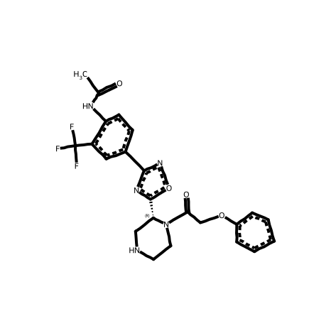 CC(=O)Nc1ccc(-c2noc([C@H]3CNCCN3C(=O)COc3ccccc3)n2)cc1C(F)(F)F